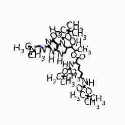 CC(OC(=O)C(CCCCNC(=O)OC(C)(C)C)NC(=O)OC(C)(C)C)C(O)C1CNc2[nH]c(/N=C/N(C)C)nc(=O)c2N1C(=O)OC(C)(C)C